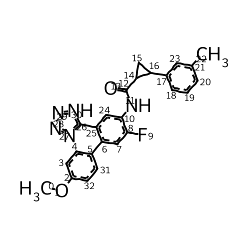 COc1ccc(-c2cc(F)c(NC(=O)C3CC3c3cccc(C)c3)cc2-c2nnn[nH]2)cc1